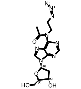 CC(=O)N(CCN=[N+]=[N-])c1ncnc2c1ncn2[C@H]1C[C@H](O)[C@@H](CO)O1